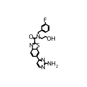 Nc1nccc(C2=CC3SC(C(=O)N(CCO)Cc4cccc(F)c4)=NC3C=C2)n1